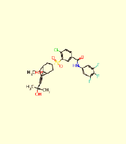 C[C@H]1CC2C[C@@H](S(=O)(=O)c3cc(C(=O)Nc4cc(F)c(F)c(F)c4)ccc3Cl)CC1[C@@]2(O)C#CC(C)(C)O